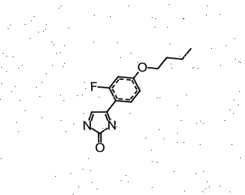 CCCCOc1ccc(C2=NC(=O)N=C2)c(F)c1